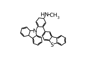 CN[C@H]1C=C(c2ccc3sc4ccccc4c3c2)C(N2c3ccccc3C3C=CC=CC32)=CC1